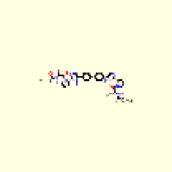 COC(=O)N[C@H](C(=O)N1CCC[C@H]1c1ncc(-c2ccc([C@H]3CC[C@@H](c4cnc([C@@H]5CCCN5C(=O)[C@@H](NC(=O)OC)C(C)C)[nH]4)CC3)cc2)[nH]1)C(C)C